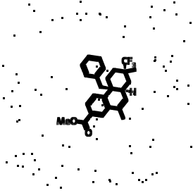 COC(=O)c1ccc2c(c1)C(C)=C[C@@H]1C[C@@](C)(C(F)(F)F)CC[C@@]21Cc1ccccc1